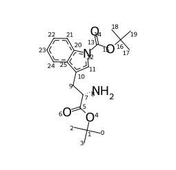 CC(C)(C)OC(=O)[C@@H](N)Cc1cn(C(=O)OC(C)(C)C)c2ccccc12